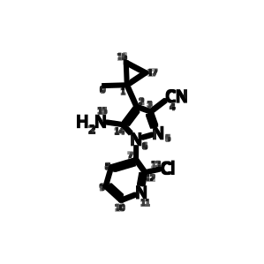 CC1(c2c(C#N)nn(-c3cccnc3Cl)c2N)CC1